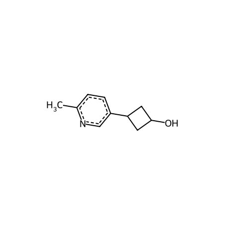 Cc1ccc(C2CC(O)C2)cn1